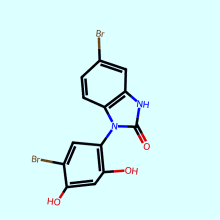 O=c1[nH]c2cc(Br)ccc2n1-c1cc(Br)c(O)cc1O